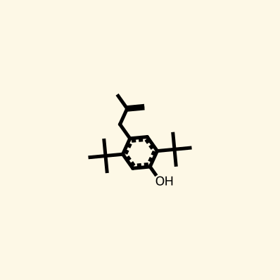 C=C(C)Cc1cc(C(C)(C)C)c(O)cc1C(C)(C)C